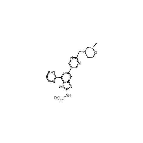 CCOC(=O)Nc1nc2cc(-c3cnc(CN4CCO[C@H](C)C4)nc3)cc(-c3ncccn3)c2[nH]1